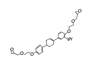 CC(C)c1cc(C2=CCC(c3ccc(OCCOCC4CO4)cc3)CC2)ccc1OCCOCC1CO1